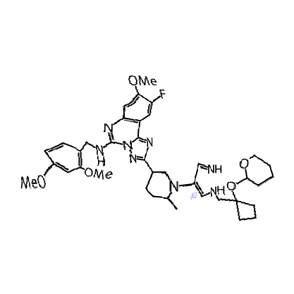 COc1ccc(CNc2nc3cc(OC)c(F)cc3c3nc(C4CCC(C)N(/C(C=N)=C/NCC5(OC6CCCCO6)CCC5)C4)nn23)c(OC)c1